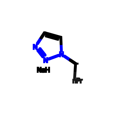 CCC[CH]n1ccnn1.[NaH]